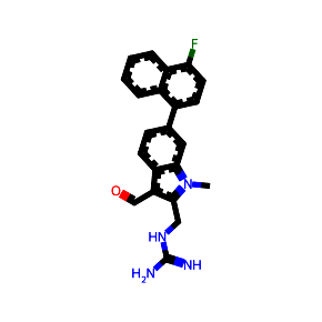 Cn1c(CNC(=N)N)c(C=O)c2ccc(-c3ccc(F)c4ccccc34)cc21